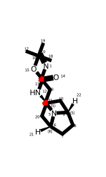 C=NCCCN1[C@@H]2CC[C@H]1C[C@H](NC(=O)OC(C)(C)C)C2